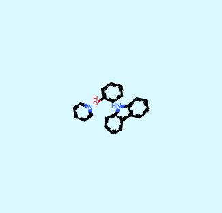 Oc1ccccc1.c1ccc2c(c1)[nH]c1ccccc12.c1ccncc1